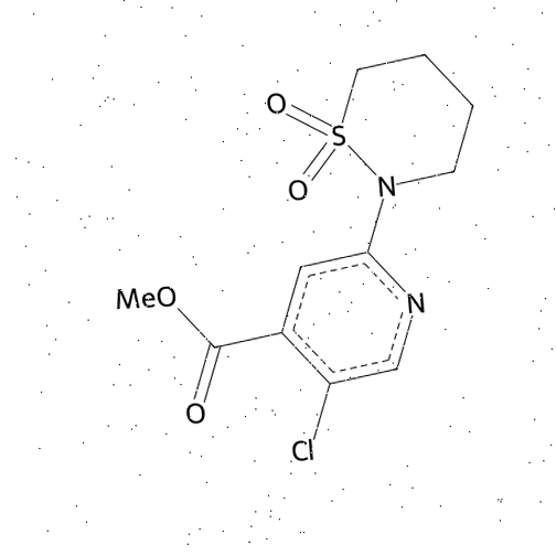 COC(=O)c1cc(N2CCCCS2(=O)=O)ncc1Cl